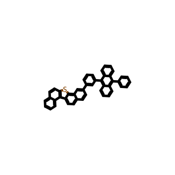 c1ccc(-c2c3ccccc3c(-c3cccc(-c4ccc5ccc6c(sc7ccc8ccccc8c76)c5c4)c3)c3ccccc23)cc1